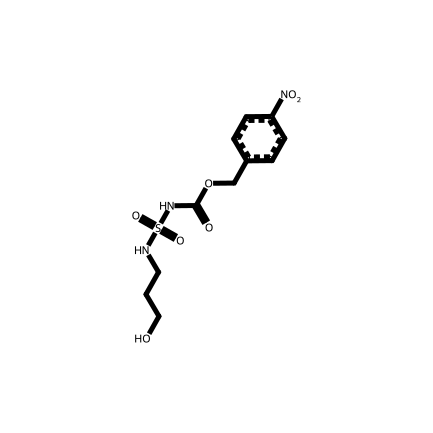 O=C(NS(=O)(=O)NCCCO)OCc1ccc([N+](=O)[O-])cc1